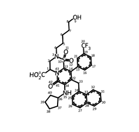 O=C(O)C1CN(CCCCCO)S(=O)(=O)c2c(-c3cccc(C(F)(F)F)c3)c(Cc3cccc4ccccc34)c(NC3CCCC3)c(=O)n21